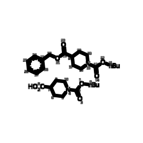 CCCCOC(=O)N1CCC(C(=O)O)CC1.CCCCOC(=O)N1CCC(C(=O)OCc2ccccc2)CC1